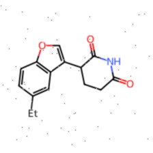 CCc1ccc2occ(C3CCC(=O)NC3=O)c2c1